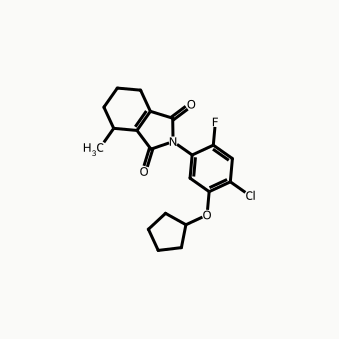 CC1CCCC2=C1C(=O)N(c1cc(OC3CCCC3)c(Cl)cc1F)C2=O